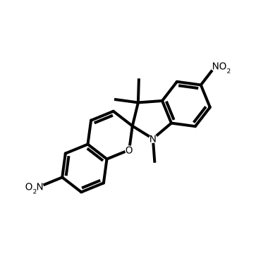 CN1c2ccc([N+](=O)[O-])cc2C(C)(C)C12C=Cc1cc([N+](=O)[O-])ccc1O2